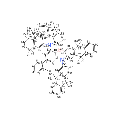 Cc1ccccc1-c1cc2c3c(c1)N(c1cc4c(cc1C)C(C)(C)CCC4(C)C)c1c(ccc4c1-c1cc(C(C)(C)C)ccc1C4(C)C)B3c1cc3c(cc1N2c1ccc2c(c1)C(C)(C)c1ccccc1C2(C)C)C(C)(C)c1ccccc1C3(C)C